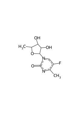 Cc1nc(=O)n(C2OC(C)C(O)C2O)cc1F